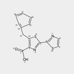 O=C(O)c1nc(-c2nccs2)sc1Cc1ccccc1